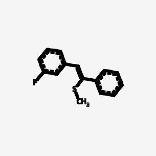 CSC(=Cc1cccc(F)c1)c1ccccc1